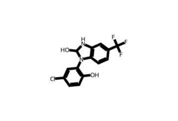 Oc1ccc(Cl)cc1N1c2ccc(C(F)(F)F)cc2NC1O